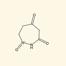 O=C1CC[N+](=O)NC(=O)C1